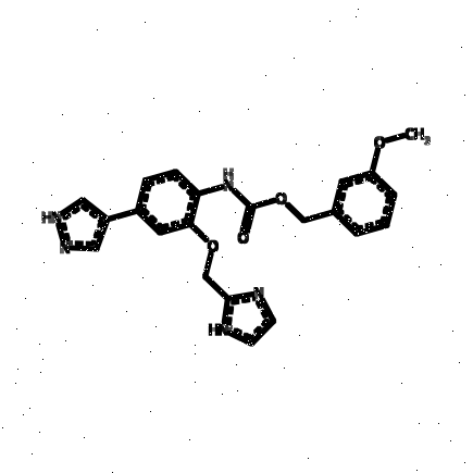 COc1cccc(COC(=O)Nc2ccc(-c3cn[nH]c3)cc2OCc2ncc[nH]2)c1